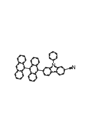 N#Cc1ccc2c3ccc(-c4c5ccccc5c(-c5c6ccccc6cc6ccccc56)c5ccccc45)cc3n(-c3ccccc3)c2c1